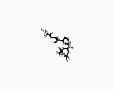 C/C(=C\C=C(/C)c1ccnc(NC2CC(C)(C)NC(C)(C)C2)n1)C(N)=O